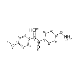 COc1ccc(NC(=O)C2CCC(CN)CC2)cc1.Cl